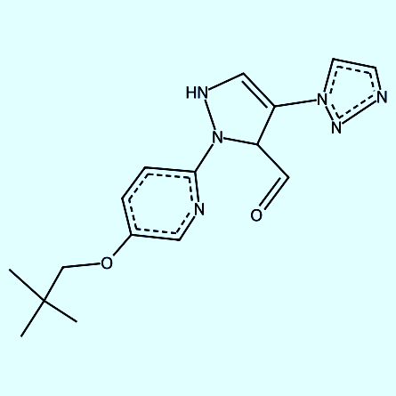 CC(C)(C)COc1ccc(N2NC=C(n3ccnn3)C2C=O)nc1